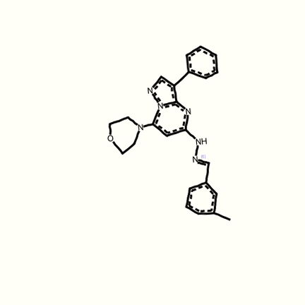 Cc1cccc(/C=N/Nc2cc(N3CCOCC3)n3ncc(-c4ccccc4)c3n2)c1